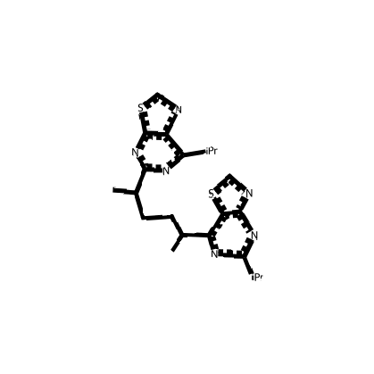 CC(C)c1nc(C(C)CCC(C)c2nc(C(C)C)c3ncsc3n2)c2scnc2n1